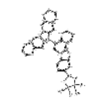 CC1(C)OB(c2ccc3c(c2)oc2c4ccccc4c(-n4c5cc6ccccc6cc5c5cc6ccccc6cc54)cc32)OC1(C)C